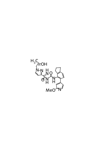 COc1cc(-c2ccc3c(c2NC(=O)NS(=N)(=O)c2ccn(C[C@@H](C)O)n2)CCC3)ccn1